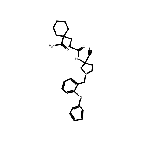 N#CC1(NC(=O)[CH]CC2(C(N)=O)CCCCC2)CCN(Cc2ccccc2Oc2ccccc2)C1